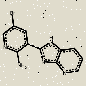 Nc1ncc(Br)cc1-c1nc2ncccc2[nH]1